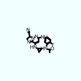 CC(=O)Nc1cc(NC2=NN3C(=NCC3C#N)C(NC3CC3)=C2)ccc1F